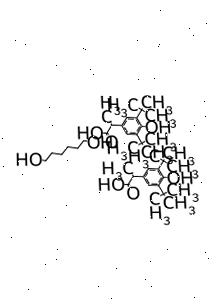 CC(C(=O)O)c1cc(C(C)(C)C)c(O)c(C(C)(C)C)c1.CC(C(=O)O)c1cc(C(C)(C)C)c(O)c(C(C)(C)C)c1.OCCCCCCO